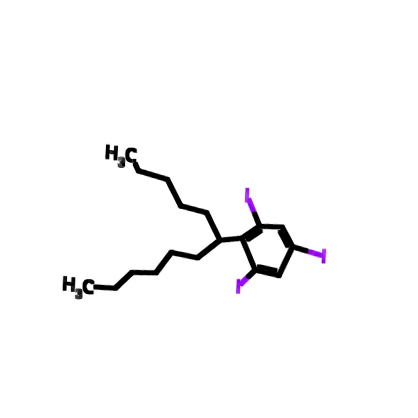 CCCCCCC(CCCCC)c1c(I)cc(I)cc1I